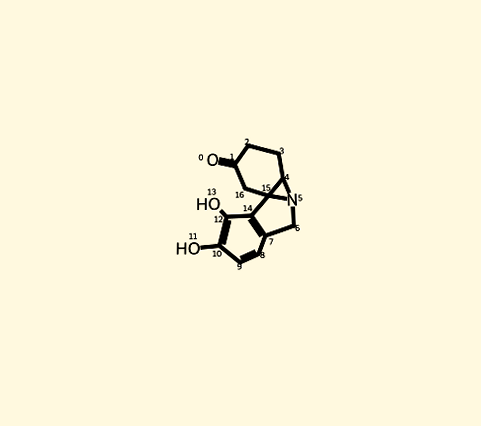 O=C1CCC2N3Cc4ccc(O)c(O)c4C23C1